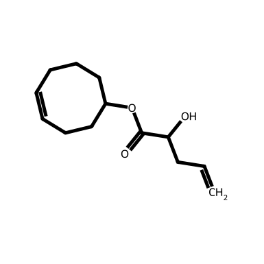 C=CCC(O)C(=O)OC1CC/C=C\CCC1